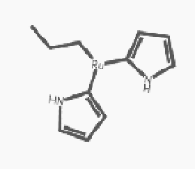 CC[CH2][Ru]([c]1ccc[nH]1)[c]1ccc[nH]1